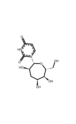 O=c1ccn([C@@H]2O[C@H](CO)[C@@H](O)[C@@H](O)C[C@H]2O)c(=O)[nH]1